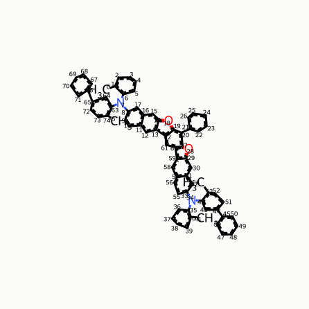 Cc1ccccc1N(c1ccc2cc3c(cc2c1)oc1c(-c2ccccc2)c2oc4cc5cc(N(c6ccccc6C)c6cc(-c7ccccc7)ccc6C)ccc5cc4c2cc13)c1cc(-c2ccccc2)ccc1C